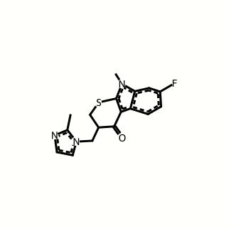 Cc1nccn1CC1CSc2c(c3ccc(F)cc3n2C)C1=O